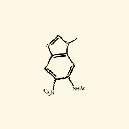 CC(=O)Nc1cc2c(cc1[N+](=O)[O-])ncn2C